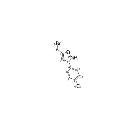 Clc1ccc(C2N=C(CBr)ON2)cc1